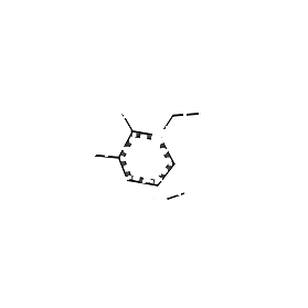 CC(=O)[O-].CCCCCCCC[n+]1cccc(C)c1C